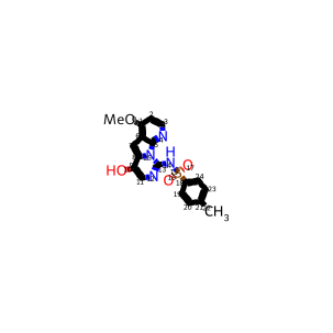 COc1ccnc2c1cc1c(O)cnc(NS(=O)(=O)c3ccc(C)cc3)n12